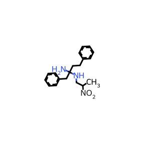 CC(CNC(N)(CCc1ccccc1)Cc1ccccc1)[N+](=O)[O-]